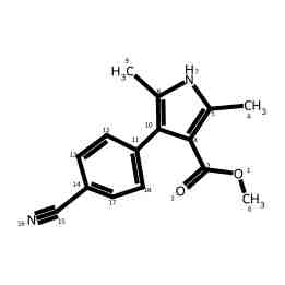 COC(=O)c1c(C)[nH]c(C)c1-c1ccc(C#N)cc1